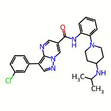 CC(C)NC1CCN(c2ccccc2NC(=O)c2cnc3c(-c4cccc(Cl)c4)cnn3c2)CC1